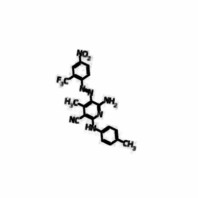 Cc1ccc(Nc2nc(N)c(N=Nc3ccc([N+](=O)[O-])cc3C(F)(F)F)c(C)c2C#N)cc1